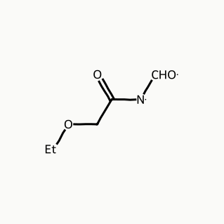 CCOCC(=O)[N][C]=O